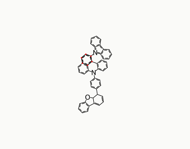 C1=CC(c2ccc(N(c3ccccc3-c3ccccc3-n3c4ccccc4c4ccccc43)c3cccc4ccccc34)cc2)C2Oc3ccccc3C2=C1